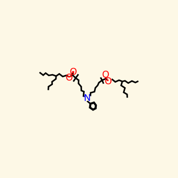 CCCCCC(CCCCC)CCCOC(=O)C(C)(C)CCCCCCN(CCCCCCC(C)(C)C(=O)OCCCC(CCCCC)CCCCC)Cc1ccccc1